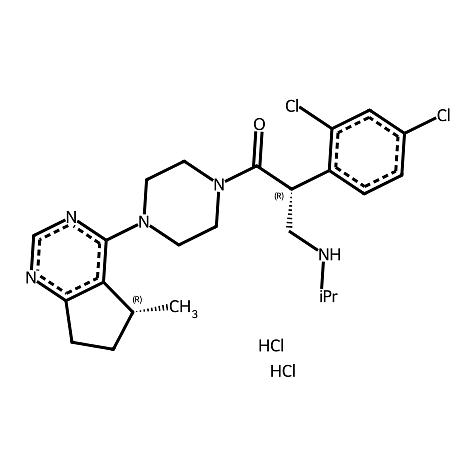 CC(C)NC[C@H](C(=O)N1CCN(c2ncnc3c2[C@H](C)CC3)CC1)c1ccc(Cl)cc1Cl.Cl.Cl